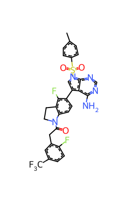 Cc1ccc(S(=O)(=O)n2cc(-c3ccc4c(c3F)CCN4C(=O)Cc3cc(C(F)(F)F)ccc3F)c3c(N)ncnc32)cc1